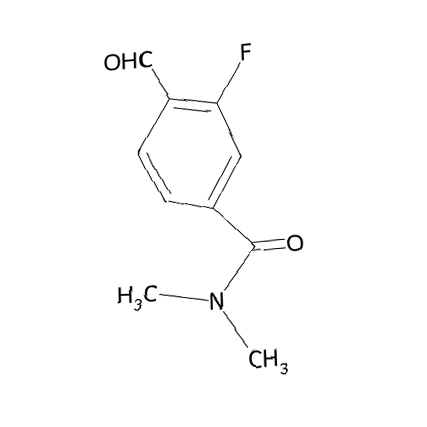 CN(C)C(=O)c1ccc(C=O)c(F)c1